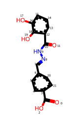 O=C(O)c1ccc(C=NNC(=O)c2cccc(O)c2O)cc1